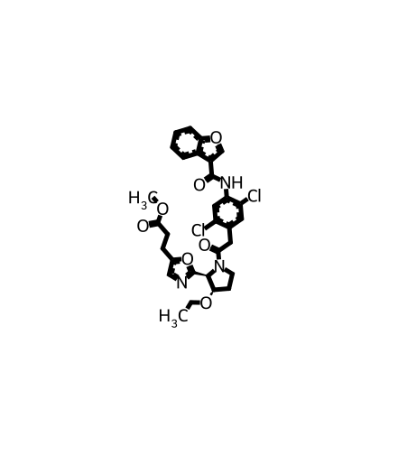 CCO[C@H]1CCN(C(=O)Cc2cc(Cl)c(NC(=O)c3coc4ccccc34)cc2Cl)[C@@H]1c1ncc(CCC(=O)OC)o1